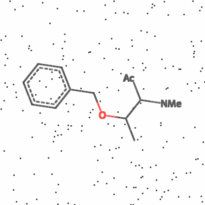 CNC(C(C)=O)C(C)OCc1ccccc1